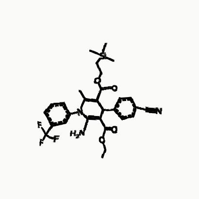 CCOC(=O)C1=C(N)N(c2cccc(C(F)(F)F)c2)C(C)=C(C(=O)OCC[Si](C)(C)C)C1c1ccc(C#N)cc1